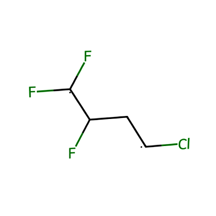 F[C](F)C(F)C[CH]Cl